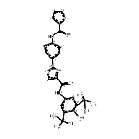 CC(C)(C)c1cc(NC(=O)c2csc(-c3ccc(NC(=N)c4cccs4)cc3)n2)cc(C(C)(C)C)c1O